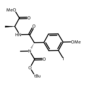 COC(=O)[C@H](C)NC(=O)[C@H](c1ccc(OC)c(I)c1)N(C)C(=O)OC(C)(C)C